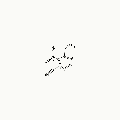 CCc1cccc(C#N)c1[N+](=O)[O-]